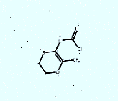 O=C(Cl)OC1=C(C(F)(F)F)OCCS1